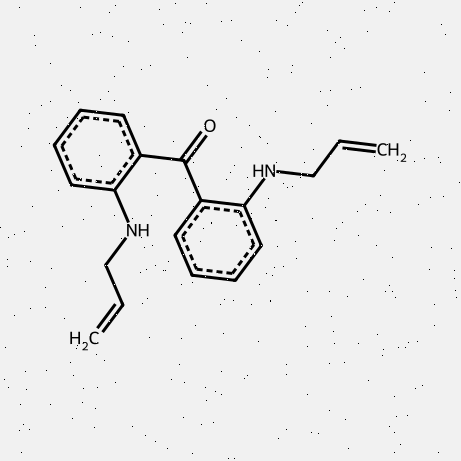 C=CCNc1ccccc1C(=O)c1ccccc1NCC=C